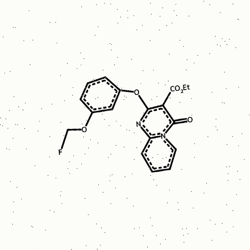 CCOC(=O)c1c(Oc2cccc(OCF)c2)nc2ccccn2c1=O